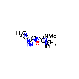 CNCc1nc(N(C)C(C)C)cc2c1CN(c1cccc(-c3nncn3C3CCN(C)CC3)n1)C2=O